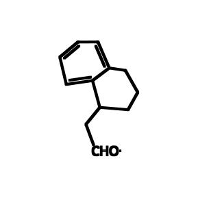 O=[C]CC1CCCc2ccccc21